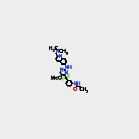 C=CC(=O)Nc1cccc(C(F)(F)c2nc(Nc3ccc4nc(CN(C)C)ccc4c3)ncc2OC)c1